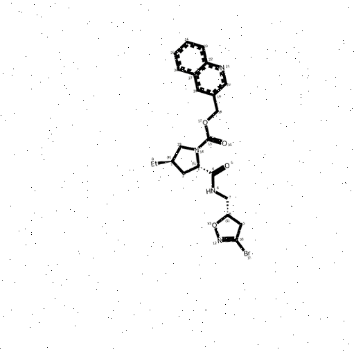 CC[C@@H]1C[C@@H](C(=O)NC[C@@H]2CC(Br)=NO2)N(C(=O)OCc2cnc3ccccc3c2)C1